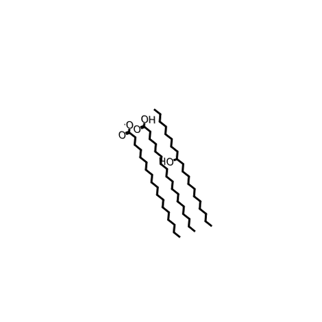 CCCCCCCCCCCC(O)CCCCCCCC.CCCCCCCCCCCCCCCCCC(=O)O.CCCCCCCCCCCCCCCCCC([O])=O